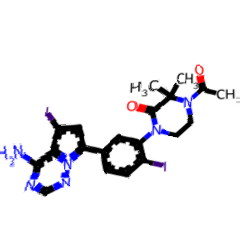 CC(=O)N1CCN(c2cc(-c3cc(I)c4c(N)ncnn34)ccc2I)C(=O)C1(C)C